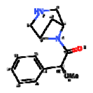 CO[C@H](C(=O)N1C2CNCC1C2)c1ccccc1